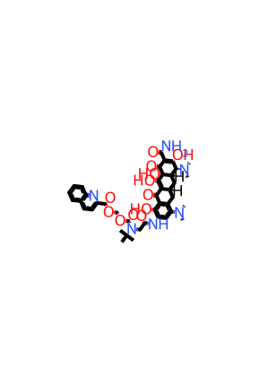 CN(C)c1cc(NC(=O)CN(C(=O)OCOC(=O)c2ccc3ccccc3n2)C(C)(C)C)c(O)c2c1C[C@H]1C[C@H]3[C@H](N(C)C)C(O)=C(C(N)=O)C(=O)[C@@]3(O)C(O)=C1C2=O